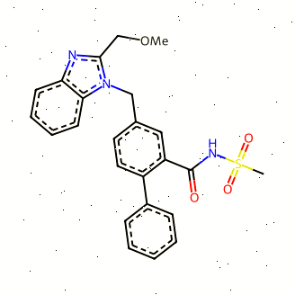 COCc1nc2ccccc2n1Cc1ccc(-c2ccccc2)c(C(=O)NS(C)(=O)=O)c1